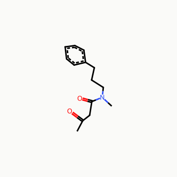 CC(=O)CC(=O)N(C)CCCc1ccccc1